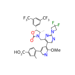 COc1ncc(-c2ccc(C(=O)O)cc2C)cc1-c1cnc(N2CC(F)(F)C2)nc1CN1C(=O)O[C@H](c2cc(C(F)(F)F)cc(C(F)(F)F)c2)[C@@H]1C